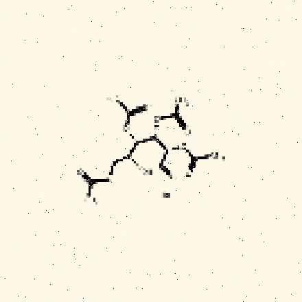 Br.CC(=O)OC[C@@H](O)[C@H](OC(C)=O)[C@H](OC(C)=O)[C@H](C=O)OC(C)=O